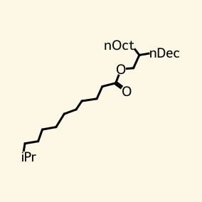 CCCCCCCCCCC(CCCCCCCC)COC(=O)CCCCCCCCCC(C)C